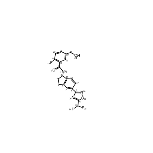 O=C(NC1CCc2cc(-c3noc(C(F)F)n3)ccc21)c1cc(CO)ccc1F